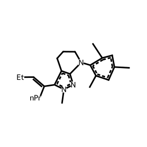 CCC=C(CCC)c1c2c(nn1C)N(c1c(C)cc(C)cc1C)CCC2